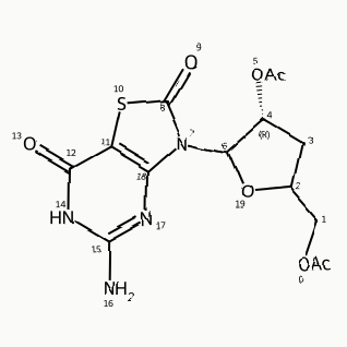 CC(=O)OCC1C[C@@H](OC(C)=O)C(n2c(=O)sc3c(=O)[nH]c(N)nc32)O1